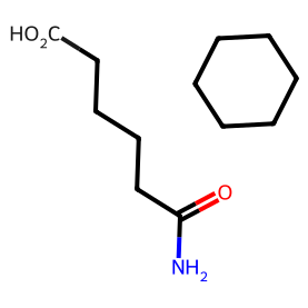 C1CCCCC1.NC(=O)CCCCC(=O)O